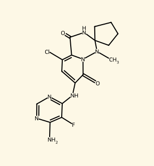 CN1n2c(c(Cl)cc(Nc3ncnc(N)c3F)c2=O)C(=O)NC12CCCC2